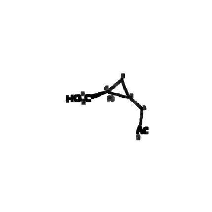 CC(=O)CC1C[C@@H]1C(=O)O